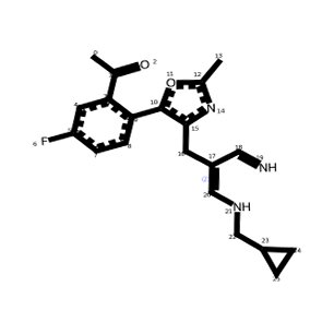 CC(=O)c1cc(F)ccc1-c1oc(C)nc1C/C(C=N)=C/NCC1CC1